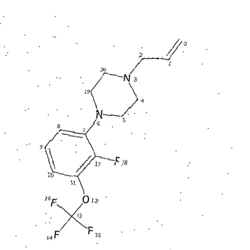 C=CCN1CCN(c2cccc(OC(F)(F)F)c2F)CC1